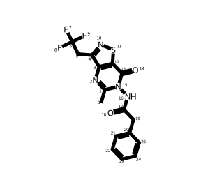 Cc1nc2c(CC(F)(F)F)nsc2c(=O)n1NC(=O)Cc1ccccc1